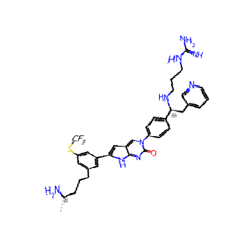 C[C@H](N)CCCc1cc(SC(F)(F)F)cc(-c2cc3cn(-c4ccc([C@H](Cc5cccnc5)NCCCNC(=N)N)cc4)c(=O)nc3[nH]2)c1